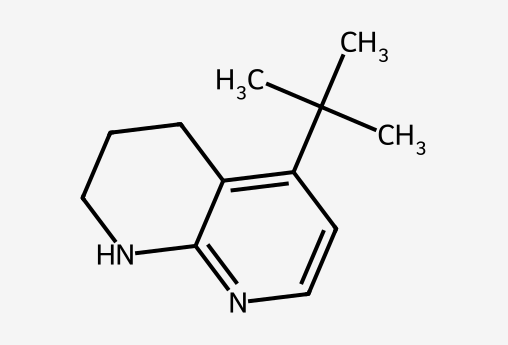 CC(C)(C)c1ccnc2c1CCCN2